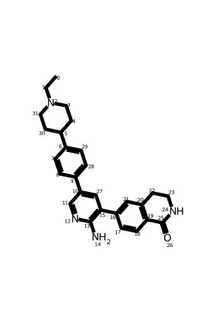 CCN1CCC(c2ccc(-c3cnc(N)c(-c4ccc5c(c4)CCNC5=O)c3)cc2)CC1